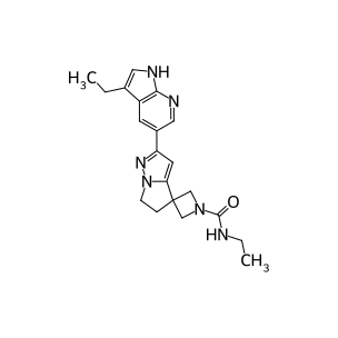 CCNC(=O)N1CC2(CCn3nc(-c4cnc5[nH]cc(CC)c5c4)cc32)C1